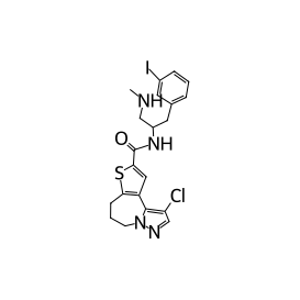 CNCC(Cc1cccc(I)c1)NC(=O)c1cc2c(s1)CCCn1ncc(Cl)c1-2